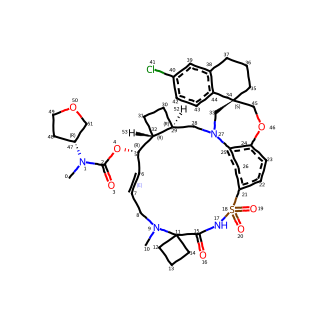 CN(C(=O)O[C@H]1/C=C/CN(C)C2(CCC2)C(=O)NS(=O)(=O)c2ccc3c(c2)N(C[C@@H]2CC[C@H]21)C[C@@]1(CCCc2cc(Cl)ccc21)CO3)[C@@H]1CCOC1